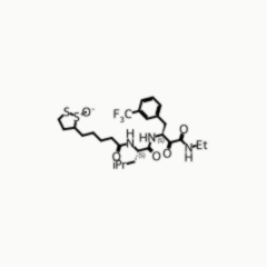 CCNC(=O)C(=O)[C@H](Cc1cccc(C(F)(F)F)c1)NC(=O)[C@H](CC(C)C)NC(=O)CCCCC1CCS[S+]1[O-]